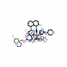 CC(C)[Si](C#Cc1c(F)ccc2cccc(-c3nc(N(C)c4cnn(-c5ccncc5)c4)c4cnc(OC[C@@]56CCCN5C[C@H](F)C6)nc4c3F)c12)(C(C)C)C(C)C